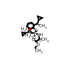 CCOC(=O)[C@H](C)NP(=O)(COC)Oc1c([C@H](C)C2CC2)cccc1[C@H](C)C1CC1